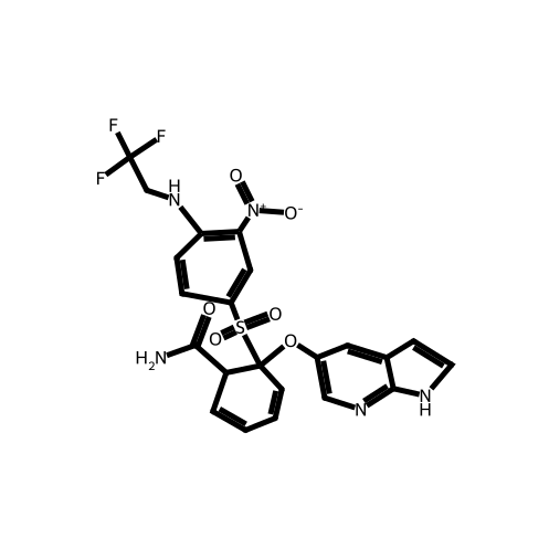 NC(=O)C1C=CC=CC1(Oc1cnc2[nH]ccc2c1)S(=O)(=O)c1ccc(NCC(F)(F)F)c([N+](=O)[O-])c1